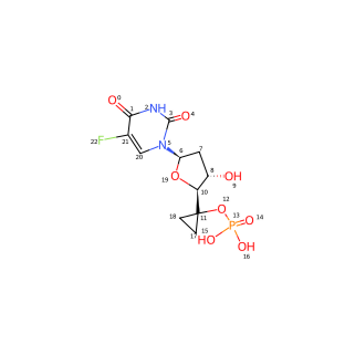 O=c1[nH]c(=O)n([C@H]2C[C@H](O)[C@@H](C3(OP(=O)(O)O)CC3)O2)cc1F